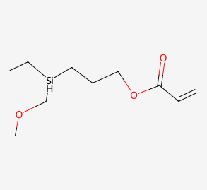 C=CC(=O)OCCC[SiH](CC)COC